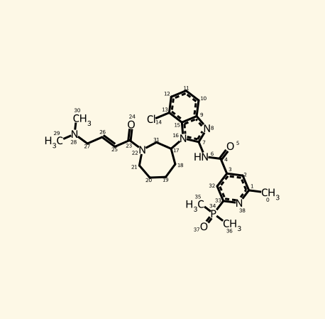 Cc1cc(C(=O)Nc2nc3cccc(Cl)c3n2C2CCCCN(C(=O)C=CCN(C)C)C2)cc(P(C)(C)=O)n1